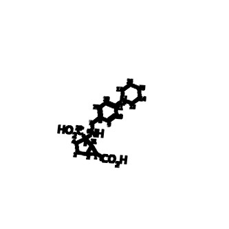 O=C(O)C1C2CCC(NCc3ccc(N4CCCCC4)cc3)(C(=O)O)C21